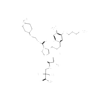 COCCCOc1cc(C[C@@H](C[C@H]2[C@H](C[C@H](C(=O)NCC(C)(C)C(N)=O)C(C)C)OCN2C(=O)OCOC2CCN(C)CC2)C(C)C)ccc1OC